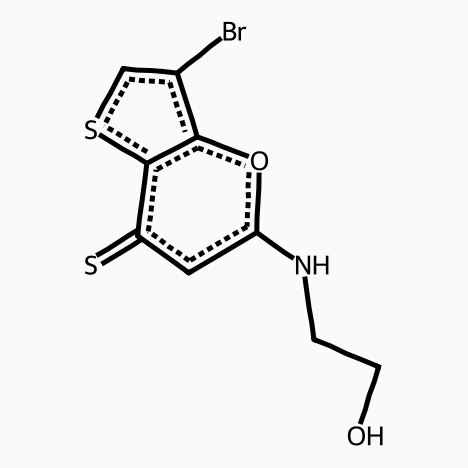 OCCNc1cc(=S)c2scc(Br)c2o1